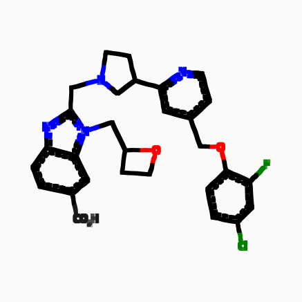 O=C(O)c1ccc2nc(CN3CCC(c4cc(COc5ccc(Cl)cc5F)ccn4)C3)n(CC3CCO3)c2c1